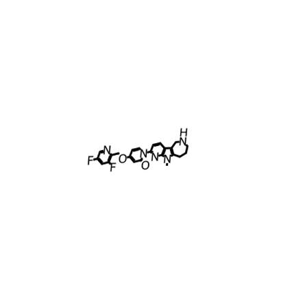 Cn1c2c(c3ccc(-n4ccc(OCc5ncc(F)cc5F)cc4=O)nc31)CNCCC2